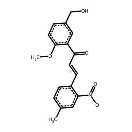 COc1ccc(CO)cc1C(=O)/C=C/c1ccc(C)cc1[N+](=O)[O-]